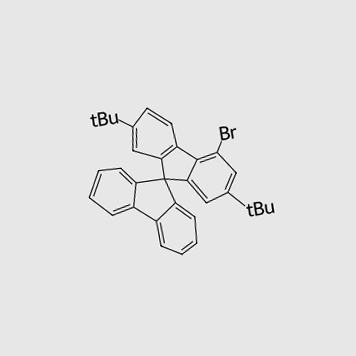 CC(C)(C)c1ccc2c(c1)C1(c3ccccc3-c3ccccc31)c1cc(C(C)(C)C)cc(Br)c1-2